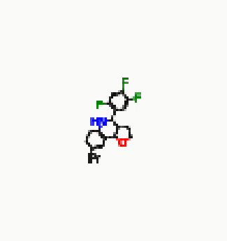 CC(C)C1=CC2=C(CC1)NC(c1cc(F)c(F)cc1F)C1CCOC21